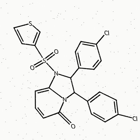 O=c1cccc2n1C(c1ccc(Cl)cc1)C(c1ccc(Cl)cc1)N2S(=O)(=O)c1ccsc1